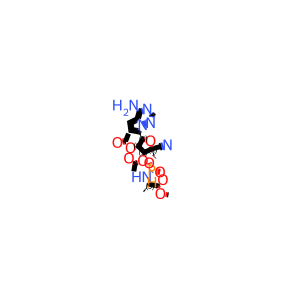 COC(=O)[C@H](C)N[PH](=O)OC[C@@]1(C#N)O[C@@H](c2ccc3c(N)ncnn23)[C@H](OC(C)=O)[C@@H]1OC(C)=O